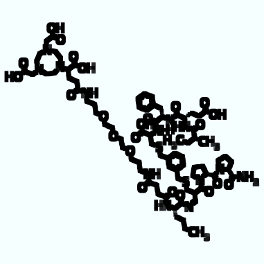 CCCC[C@H](NC(=O)CCC(=O)NCCCOCCOCCOCCCNC(=O)CCC(C(=O)O)N1CCN(CC(=O)O)CCN(CC(=O)O)CC1)C(=O)/N=C\C(CSCc1cccc(CSCC(NC(=O)[C@H](Cc2ccccc2)NC(=O)[C@H](CCC(=O)O)NC(=O)[C@@H](C)CC)C(=O)O)c1)C(=O)N1CCC[C@H]1C(=O)N1CCC[C@H]1C(N)=O